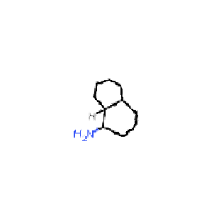 NC1CCCC2CCCC[C@@H]12